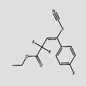 CCOC(=O)C(F)(F)/C=C(/SC#N)c1ccc(F)cc1